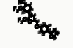 N#Cc1ccc(N2CC(COc3ccc(-c4nnco4)cc3)OC2C(F)(F)F)cc1C(F)(F)F